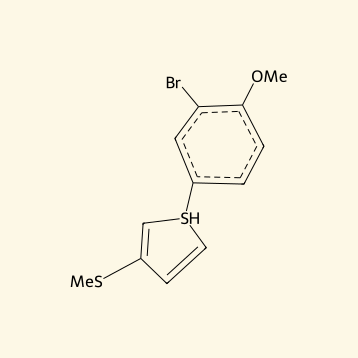 COc1ccc([SH]2C=CC(SC)=C2)cc1Br